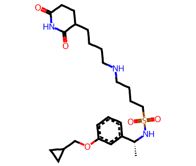 C[C@@H](NS(=O)(=O)CCCCNCCCCC1CCC(=O)NC1=O)c1cccc(OCC2CC2)c1